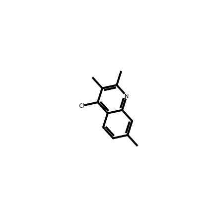 Cc1ccc2c(Cl)c(C)c(C)nc2c1